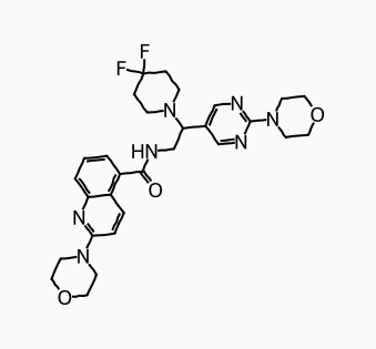 O=C(NCC(c1cnc(N2CCOCC2)nc1)N1CCC(F)(F)CC1)c1cccc2nc(N3CCOCC3)ccc12